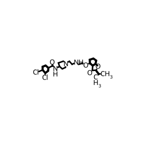 CC(C)=C1Oc2cccc(OCCNCCN3CCC(NC(=O)c4ccc(Cl)c(Cl)c4)CC3)c2C1=O